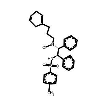 Cc1ccc(S(=O)(=O)N[C@H](c2ccccc2)[C@@H](c2ccccc2)N(Cl)CCCC2=CCC=CC2)cc1